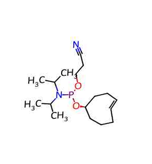 CC(C)N(C(C)C)P(OCCC#N)O[C@H]1CC/C=C/CCC1